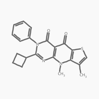 Cc1csc2c(=O)c3c(=O)n(-c4ccccc4)c(C4CCC4)nc3n(C)c12